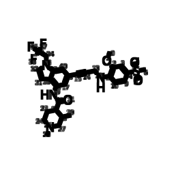 COc1cc(S(C)(=O)=O)ccc1NCC#Cc1cc(NC(=O)C2CCN(C)CC2C)c2ccn(CC(F)(F)F)c2c1